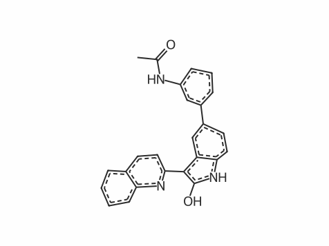 CC(=O)Nc1cccc(-c2ccc3[nH]c(O)c(-c4ccc5ccccc5n4)c3c2)c1